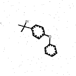 CCC(C)(C)c1ccc(Oc2ccccc2)cc1